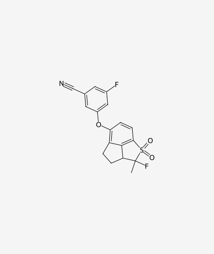 CC1(F)C2CCc3c(Oc4cc(F)cc(C#N)c4)ccc(c32)S1(=O)=O